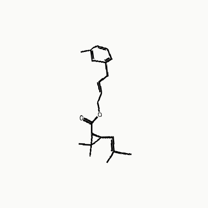 CC(C)=CC1C(C(=O)OCC=CCc2cccc(C)c2)C1(C)C